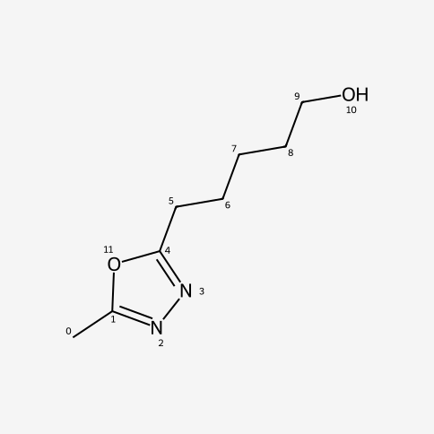 Cc1nnc(CCCCCO)o1